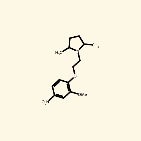 COc1cc([N+](=O)[O-])ccc1OCCN1C(C)CCC1C